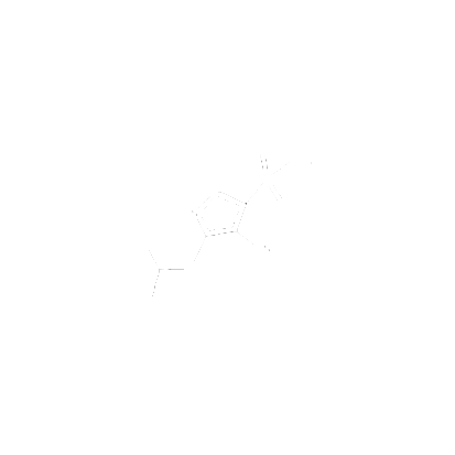 CS(=O)(=O)c1snc(OC(F)F)c1C#N